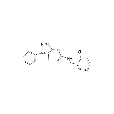 Cc1c(OC(=O)NCc2ccccc2Cl)cnn1-c1ccccc1